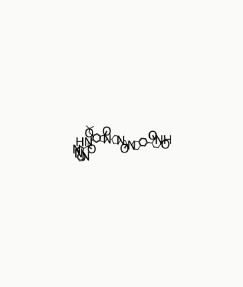 CC(C)Oc1cc2c(cc1NC(=O)c1cnn3cccnc13)CN(C1CCN(CC(=O)N3CCc4cc(C5CCC(=O)NC5=O)ccc4C3)CC1)C2=O